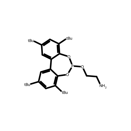 CC(C)(C)c1cc(C(C)(C)C)c2op(OCCN)oc3c(C(C)(C)C)cc(C(C)(C)C)cc3c2c1